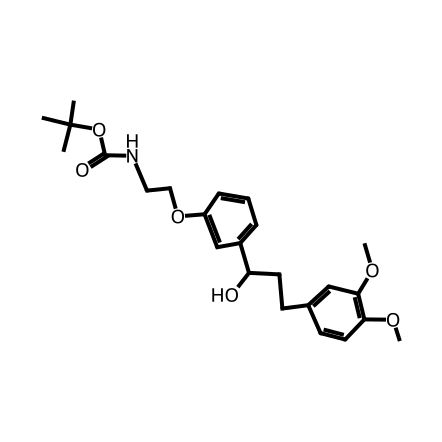 COc1ccc(CCC(O)c2cccc(OCCNC(=O)OC(C)(C)C)c2)cc1OC